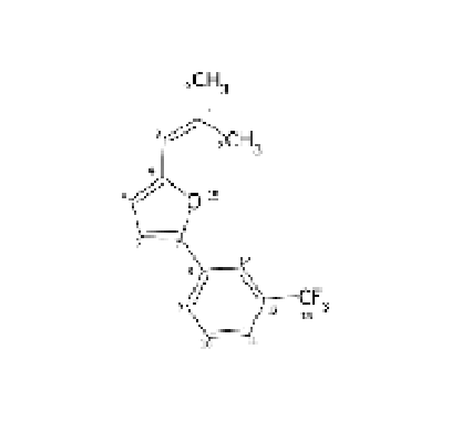 CC(C)=Cc1ccc(-c2cccc(C(F)(F)F)c2)o1